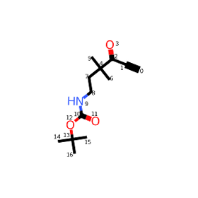 C#CC(=O)C(C)(C)CCNC(=O)OC(C)(C)C